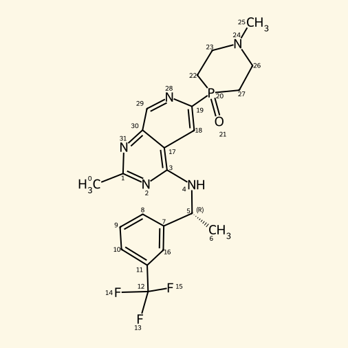 Cc1nc(N[C@H](C)c2cccc(C(F)(F)F)c2)c2cc(P3(=O)CCN(C)CC3)ncc2n1